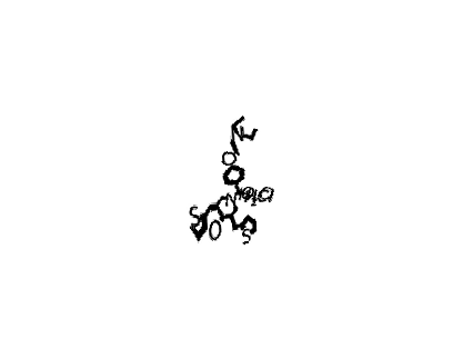 CCN(CC)CCOc1ccc(C(=O)N2C/C(=C/c3cccs3)C(=O)/C(=C/c3cccs3)C2)cc1.Cl.O